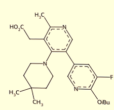 Cc1ncc(-c2cnc(OCC(C)C)c(F)c2)c(N2CCC(C)(C)CC2)c1CC(=O)O